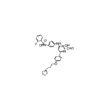 O=CO.O=S(=O)(Nc1ccc(Nc2cc(-c3ccc(OCCCN4CCCC4)cc3)ncn2)cc1)c1ccccc1F